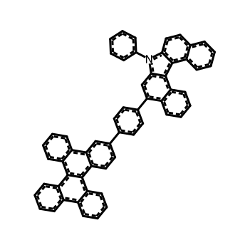 c1ccc(-n2c3ccc4ccccc4c3c3c4ccccc4c(-c4ccc(-c5ccc6c(c5)c5ccccc5c5c7ccccc7c7ccccc7c65)cc4)cc32)cc1